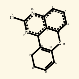 Clc1nc2c3c(cccc3n1)SC1=C2CCC=C1